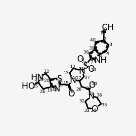 C#Cc1ccc2[nH]c(S(=O)(=O)N3CCN(C(=O)c4nc5c(s4)CNC(O)C5)C(CC(=O)N4CCOCC4)C3)cc2c1